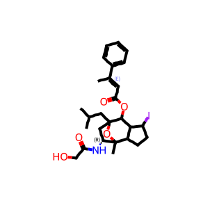 C/C(=C\C(=O)OC1C2C(I)CCC2C2(C)OC1(CC(C)C)C[C@H]2NC(=O)CO)c1ccccc1